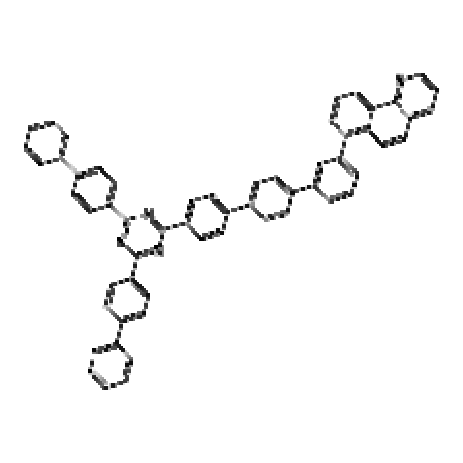 c1ccc(-c2ccc(-c3nc(-c4ccc(-c5ccccc5)cc4)nc(-c4ccc(-c5ccc(-c6cccc(-c7cccc8c7ccc7cccnc78)c6)cc5)cc4)n3)cc2)cc1